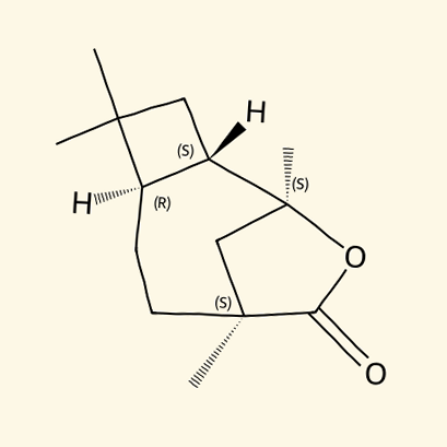 CC1(C)C[C@H]2[C@H]1CC[C@@]1(C)C[C@]2(C)OC1=O